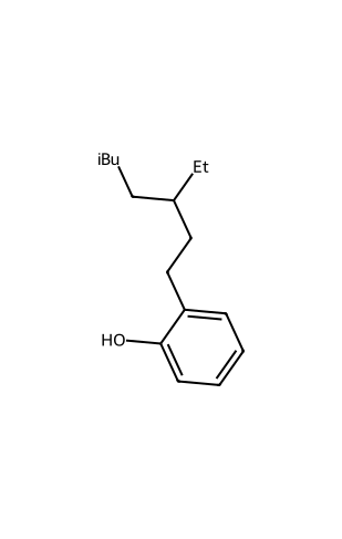 CCC(C)CC(CC)CCc1ccccc1O